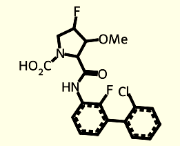 COC1C(F)CN(C(=O)O)C1C(=O)Nc1cccc(-c2ccccc2Cl)c1F